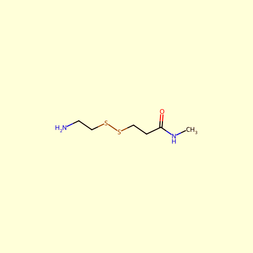 CNC(=O)CCSSCCN